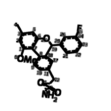 COc1cc(C)cc2c1-c1ccc(CS(N)(=O)=O)cc1C(c1cccc(F)c1)O2